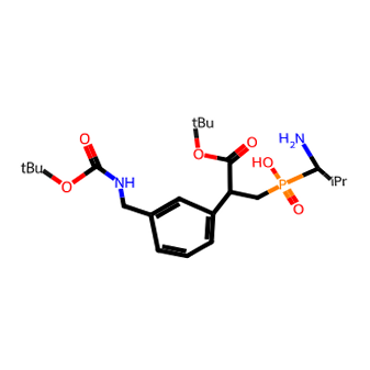 CC(C)C(N)P(=O)(O)CC(C(=O)OC(C)(C)C)c1cccc(CNC(=O)OC(C)(C)C)c1